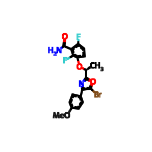 COc1ccc(-c2nc([C@H](C)Oc3ccc(F)c(C(N)=O)c3F)oc2Br)cc1